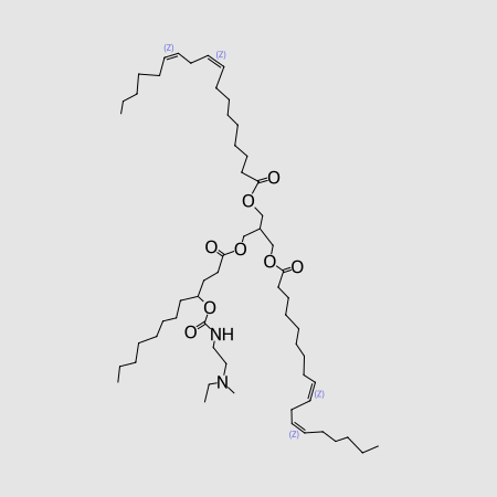 CCCCC/C=C\C/C=C\CCCCCCCC(=O)OCC(COC(=O)CCCCCCC/C=C\C/C=C\CCCCC)COC(=O)CCC(CCCCCCCC)OC(=O)NCCN(C)CC